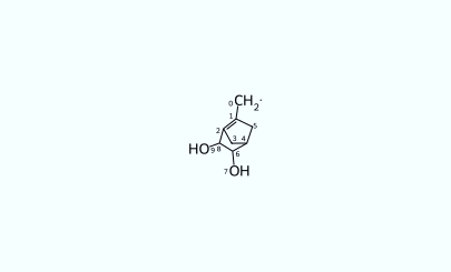 [CH2]C1=C2CC(C1)C(O)C2O